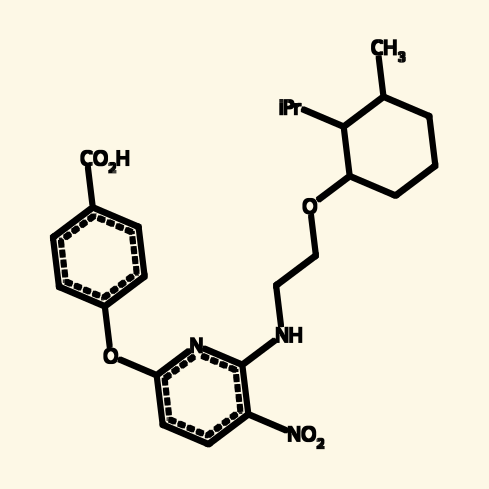 CC(C)C1C(C)CCCC1OCCNc1nc(Oc2ccc(C(=O)O)cc2)ccc1[N+](=O)[O-]